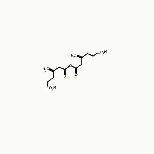 C=C(CCC(=O)O)CC(=O)OC(=O)CC(=C)CCC(=O)O